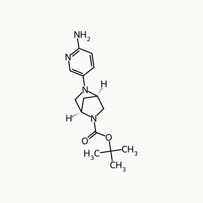 CC(C)(C)OC(=O)N1C[C@H]2C[C@@H]1CN2c1ccc(N)nc1